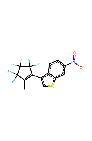 CC1=C(c2csc3cc([N+](=O)[O-])ccc23)C(F)(F)C(F)(F)C1(F)F